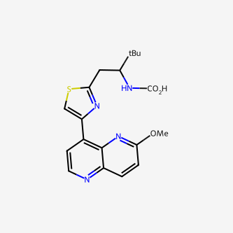 COc1ccc2nccc(-c3csc(CC(NC(=O)O)C(C)(C)C)n3)c2n1